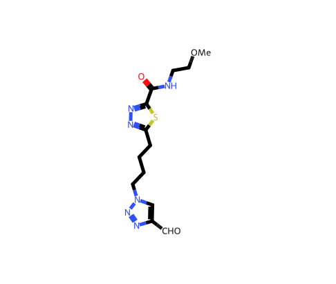 COCCNC(=O)c1nnc(CCCCn2cc(C=O)nn2)s1